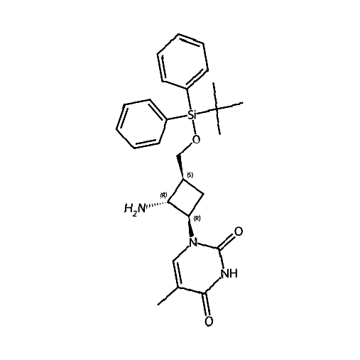 Cc1cn([C@@H]2C[C@H](CO[Si](c3ccccc3)(c3ccccc3)C(C)(C)C)[C@H]2N)c(=O)[nH]c1=O